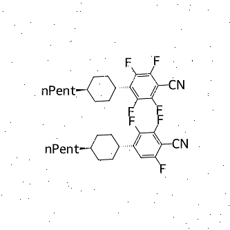 CCCCC[C@H]1CC[C@H](c2c(F)c(F)c(C#N)c(F)c2F)CC1.CCCCC[C@H]1CC[C@H](c2cc(F)c(C#N)c(F)c2F)CC1